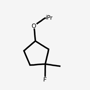 CC(C)OC1CCC(C)(F)C1